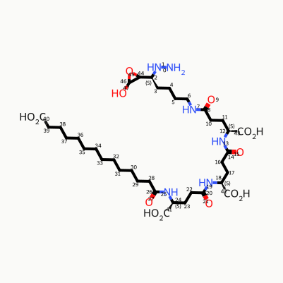 NN[C@@H](CCCCNC(=O)CC[C@H](NC(=O)CC[C@H](NC(=O)CC[C@H](NC(=O)CCCCCCCCCCCCC(=O)O)C(=O)O)C(=O)O)C(=O)O)C1OC1O